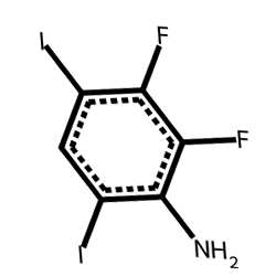 Nc1c(I)cc(I)c(F)c1F